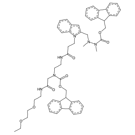 CCOCCOCCNC(=O)CN(CCNC(=O)CCn1c(CN(C)N(C)C(=O)OCC2c3ccccc3-c3ccccc32)cc2ccccc21)C(=O)OCC1c2ccccc2-c2ccccc21